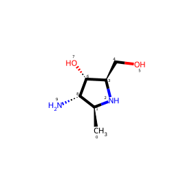 C[C@@H]1N[C@H](CO)[C@@H](O)[C@H]1N